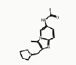 CC(=O)Nc1ccc2nc(CN3CCCC3)c(C)n2c1